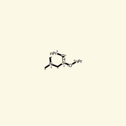 CCCO[SiH](CN(C)C)OCCC